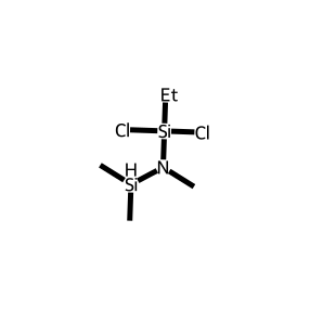 CC[Si](Cl)(Cl)N(C)[SiH](C)C